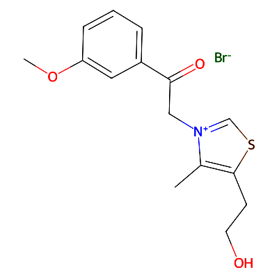 COc1cccc(C(=O)C[n+]2csc(CCO)c2C)c1.[Br-]